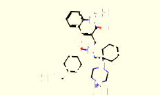 CN1CCN(C2(CN(Cc3cc4ccccc4n(C)c3=O)C(=O)[C@H]3CC[C@H](CO)CC3)CCCCC2)CC1